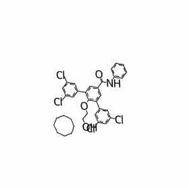 C1CCCCCCC1.O=C(Nc1ccccc1)c1cc(-c2cc(Cl)cc(Cl)c2)c(OCCO)c(-c2cc(Cl)cc(Cl)c2)c1